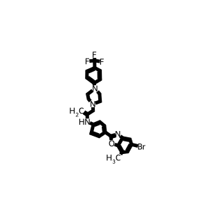 C=C(CN1CCN(c2ccc(C(F)(F)F)cc2)CC1)Nc1ccc(-c2nc3cc(Br)cc(C)c3o2)cc1